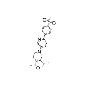 CC(=O)N1CCN(c2ccc(-c3ccc(S(C)(=O)=O)cc3)nn2)CC1C(C)C